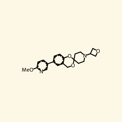 COc1ccc(-c2ccc3c(c2)COC2(CCN(C4COC4)CC2)O3)cn1